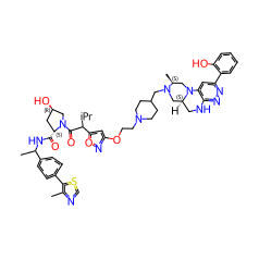 Cc1ncsc1-c1ccc(C(C)NC(=O)[C@@H]2C[C@@H](O)CN2C(=O)C(c2cc(OCCN3CCC(CN4C[C@@H]5CNc6nnc(-c7ccccc7O)cc6N5C[C@@H]4C)CC3)no2)C(C)C)cc1